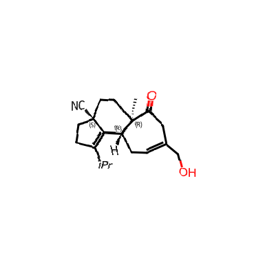 CC(C)C1=C2[C@H]3CC=C(CO)CC(=O)[C@]3(C)CC[C@@]2(C#N)CC1